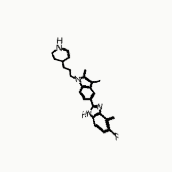 Cc1c(C)n(CCCC2CCNCC2)c2ccc(-c3nc4c(C)c(F)ccc4[nH]3)cc12